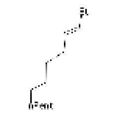 CC/C=C/CCCCCCCCC